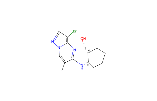 Cc1cn2ncc(Br)c2nc1N[C@H]1CCCC[C@H]1CO